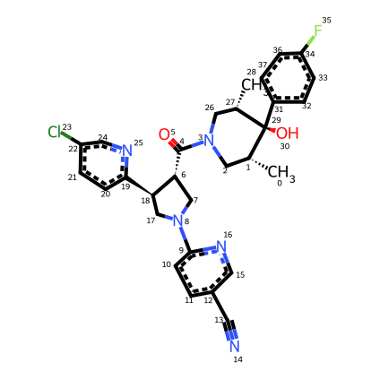 C[C@@H]1CN(C(=O)[C@@H]2CN(c3ccc(C#N)cn3)C[C@H]2c2ccc(Cl)cn2)C[C@H](C)[C@]1(O)c1ccc(F)cc1